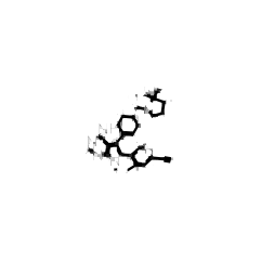 C#Cc1cc(C)c(-c2c(C3=CC[C@H](C(=O)N4CCCC45COC5)CC3)c3c(N)ncnc3n2C)cn1